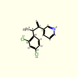 C=C(c1cccnc1)C(CCC)c1ccc(Cl)cc1Cl